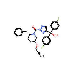 C#CCO[C@@H]1CC[C@H](Cc2ccccc2)N(C(=O)n2ncc(C(O)(c3ccc(F)cc3)c3ccc(F)cc3)n2)C1